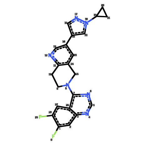 Fc1cc2ncnc(N3CCc4ncc(-c5cnn(C6CC6)c5)cc4C3)c2cc1F